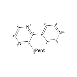 CCCCCc1nccnc1-c1ccncc1